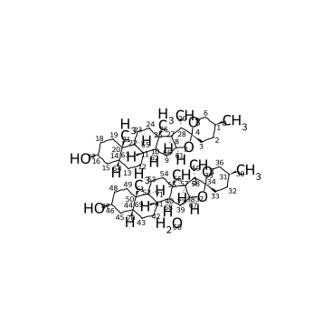 C[C@H]1CC[C@@]2(OC1)O[C@H]1C[C@H]3[C@@H]4CC[C@@H]5C[C@@H](O)CC[C@]5(C)[C@H]4CC[C@]3(C)[C@H]1[C@@H]2C.C[C@H]1CC[C@@]2(OC1)O[C@H]1C[C@H]3[C@@H]4CC[C@@H]5C[C@@H](O)CC[C@]5(C)[C@H]4CC[C@]3(C)[C@H]1[C@@H]2C.O